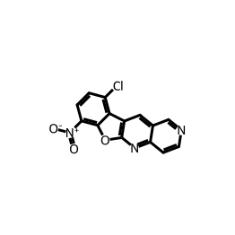 O=[N+]([O-])c1ccc(Cl)c2c1oc1nc3ccncc3cc12